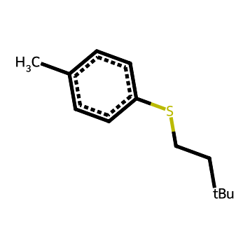 Cc1ccc(SCCC(C)(C)C)cc1